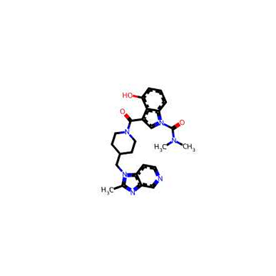 Cc1nc2cnccc2n1CC1CCN(C(=O)c2cn(C(=O)N(C)C)c3cccc(O)c23)CC1